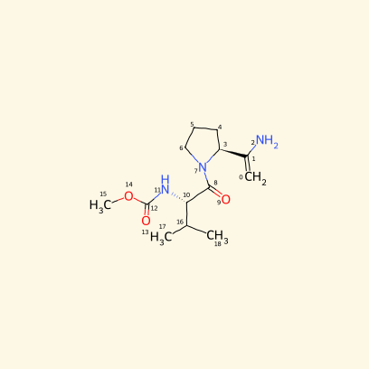 C=C(N)[C@@H]1CCCN1C(=O)[C@@H](NC(=O)OC)C(C)C